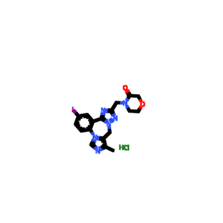 Cc1ncn2c1Cn1nc(CN3CCOCC3=O)nc1-c1cc(I)ccc1-2.Cl